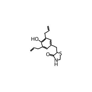 C=CCc1cc(CC2SCNC2=O)cc(CC=C)c1O